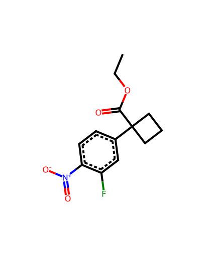 CCOC(=O)C1(c2ccc([N+](=O)[O-])c(F)c2)CCC1